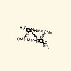 CNc1nc2cc(C)cc(OCCCOC)c2n1C/C=C/Cn1c(NC)nc2cc(C(N)=O)cc(OCCCOC)c21